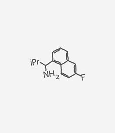 CC(C)C(N)c1cccc2cc(F)ccc12